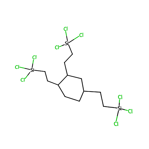 Cl[Si](Cl)(Cl)CCC1CCC(CC[Si](Cl)(Cl)Cl)C(CC[Si](Cl)(Cl)Cl)C1